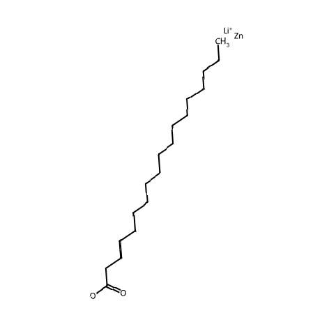 CCCCCCCCCCCCCCCCCC(=O)[O-].[Li+].[Zn]